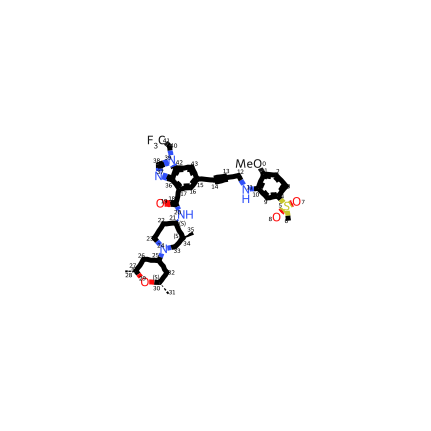 COc1ccc(S(C)(=O)=O)cc1NCC#Cc1cc(C(=O)N[C@H]2CCN(C3C[C@@H](C)O[C@@H](C)C3)C[C@@H]2C)c2ncn(CC(F)(F)F)c2c1